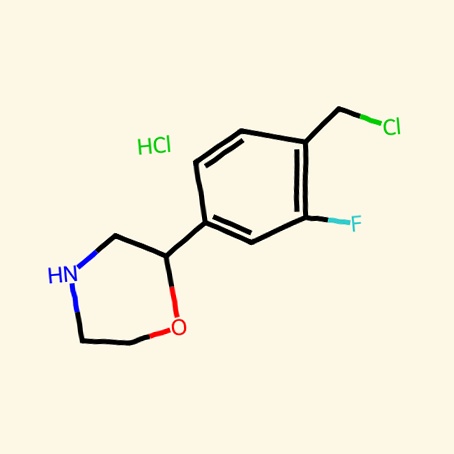 Cl.Fc1cc(C2CNCCO2)ccc1CCl